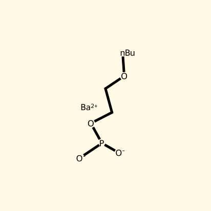 CCCCOCCOP([O-])[O-].[Ba+2]